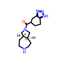 O=C(C1CCc2[nH]nnc2C1)N1C[C@H]2CCNCC[C@H]2C1